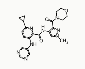 Cn1cc(NC(=O)c2nc(C3CC3)ccc2Nc2cncnc2)c(C(=O)N2CCOCC2)n1